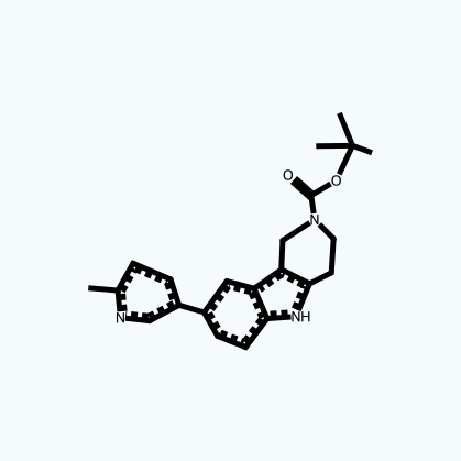 Cc1ccc(-c2ccc3[nH]c4c(c3c2)CN(C(=O)OC(C)(C)C)CC4)cn1